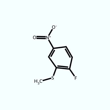 CSc1cc([N+](=O)[O-])ccc1F